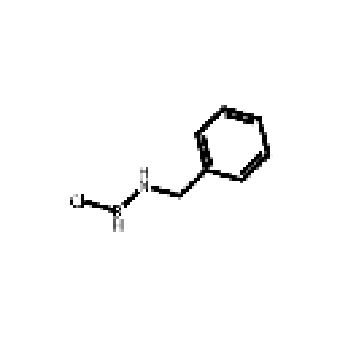 ClBNCc1ccccc1